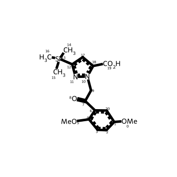 COc1ccc(OC)c(C(=O)Cn2nc([Si](C)(C)C)cc2C(=O)O)c1